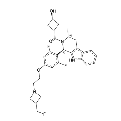 C[C@@H]1Cc2c([nH]c3ccccc23)[C@@H](c2c(F)cc(OCCN3CC(CF)C3)cc2F)N1C(=O)[C@H]1C[C@H](O)C1